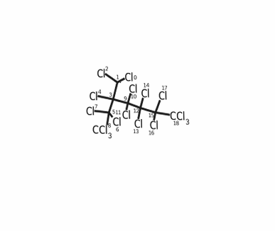 Cl[C](Cl)C(Cl)(C(Cl)(Cl)C(Cl)(Cl)Cl)C(Cl)(Cl)C(Cl)(Cl)C(Cl)(Cl)C(Cl)(Cl)Cl